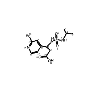 CC(C)NS(=O)(=O)NC(CC(=O)O)c1ccnc(Br)c1